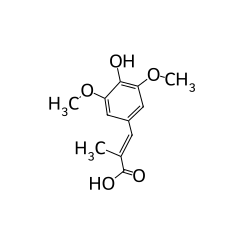 COc1cc(/C=C(\C)C(=O)O)cc(OC)c1O